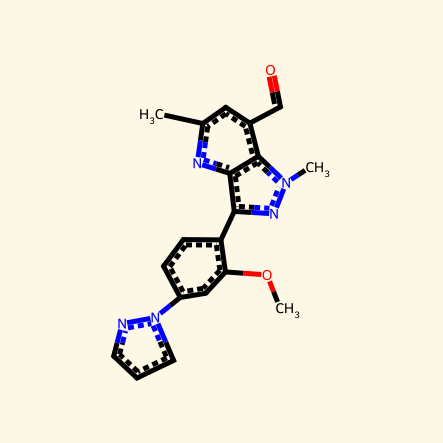 COc1cc(-n2cccn2)ccc1-c1nn(C)c2c(C=O)cc(C)nc12